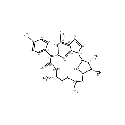 C[C@@H](CCN(C)C[C@H]1OC(n2cnc3c(N)ncnc32)[C@H](O)[C@@H]1O)NC(=O)Nc1ccc(C(C)(C)C)cc1